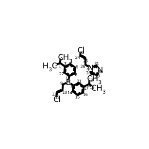 CC(C)c1cccc(B(CC=CCl)c2cccc(C(C)C)c2)c1.ClC=CCn1ccnc1